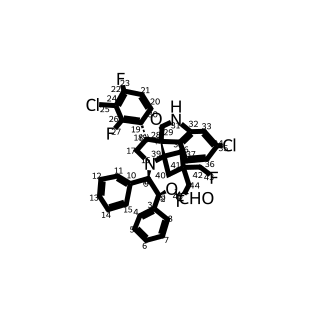 O=CO[C@@H](c1ccccc1)[C@@H](c1ccccc1)N1C[C@H](c2ccc(F)c(Cl)c2F)[C@@]2(C(=O)Nc3cc(Cl)ccc32)C12CC(CF)(CF)C2